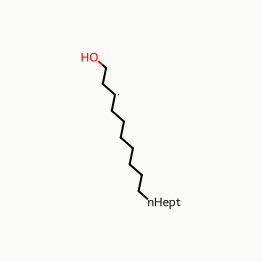 CCCCCCCCCCCCCC[CH]CCO